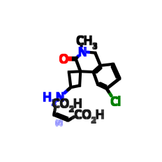 CN1Cc2ccc(Cl)cc2C2(CC(N)C2)C1=O.O=C(O)/C=C\C(=O)O